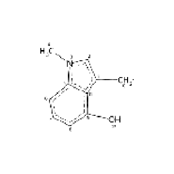 [CH2]c1cn(C)c2cccc(O)c12